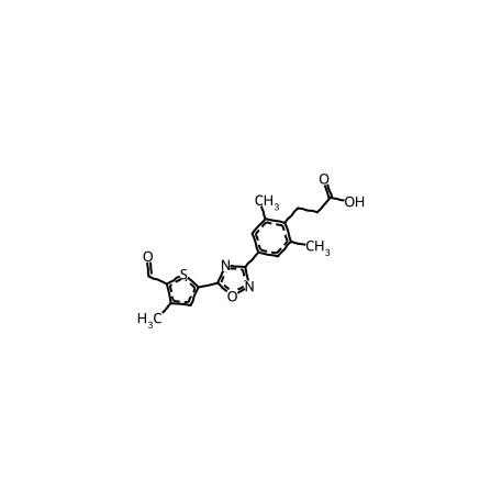 Cc1cc(-c2nc(-c3cc(C)c(CCC(=O)O)c(C)c3)no2)sc1C=O